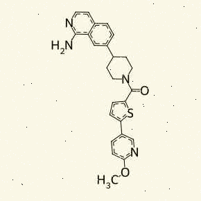 COc1ccc(-c2ccc(C(=O)N3CCC(c4ccc5ccnc(N)c5c4)CC3)s2)cn1